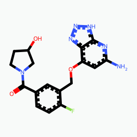 Nc1cc(OCc2cc(C(=O)N3CCC(O)C3)ccc2F)c2nn[nH]c2n1